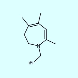 CC1=CC(C)=C(C)CCN1CC(C)C